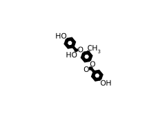 Cc1cc(OC(=O)c2ccc(O)cc2)ccc1OC(O)c1ccc(O)cc1